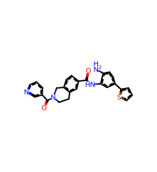 Nc1ccc(-c2cccs2)cc1NC(=O)c1ccc2c(c1)CCN(C(=O)c1cccnc1)C2